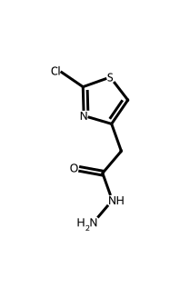 NNC(=O)Cc1csc(Cl)n1